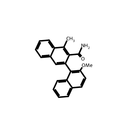 COc1ccc2ccccc2c1-c1cc2ccccc2c(C)c1C(N)=O